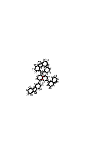 c1cc(-c2ccccc2N(c2ccc(-c3ccc4sc5ccccc5c4c3)cc2)c2cccc3oc4ccccc4c23)cc(-c2cccc3ccccc23)c1